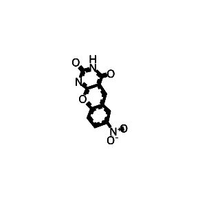 O=c1nc2oc3ccc([N+](=O)[O-])cc3cc-2c(=O)[nH]1